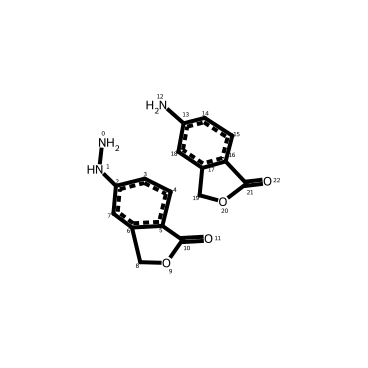 NNc1ccc2c(c1)COC2=O.Nc1ccc2c(c1)COC2=O